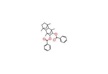 CC12CCC(C)(C1)C1C2C2(C)CC1(C)C(OC(=O)c1ccccc1)C2OC(=O)c1ccccc1